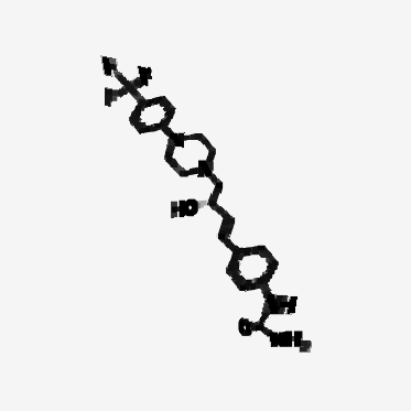 NC(=O)Nc1ccc(/C=C/[C@H](O)CN2CCN(c3ccc(C(F)(F)F)cc3)CC2)cc1